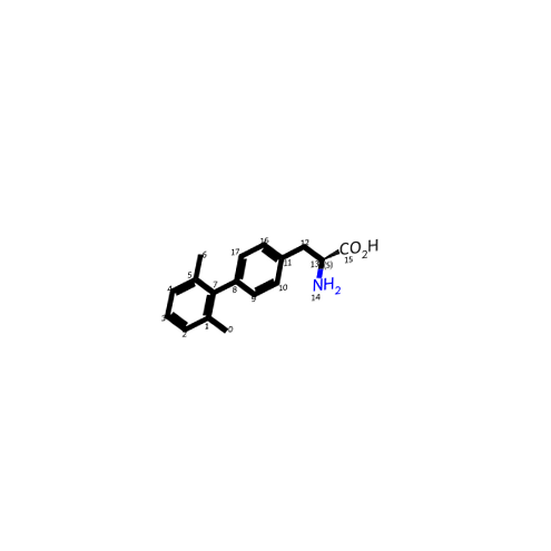 Cc1cccc(C)c1-c1ccc(C[C@H](N)C(=O)O)cc1